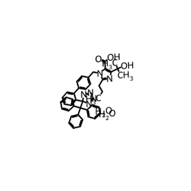 CCCc1nc(C(C)(C)O)c(C(=O)O)n1Cc1ccc(-c2ccccc2C2(C(c3ccccc3)(c3ccccc3)c3ccccc3)N=NN=N2)cc1.O.O